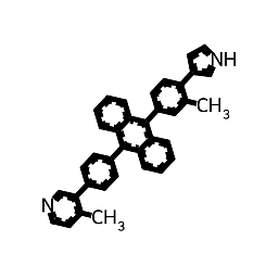 Cc1cc(-c2c3ccccc3c(-c3ccc(-c4cnccc4C)cc3)c3ccccc23)ccc1-c1cc[nH]c1